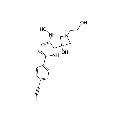 CC#Cc1ccc(C(=O)NC(C(=O)NO)C2(O)CN(CCO)C2)cc1